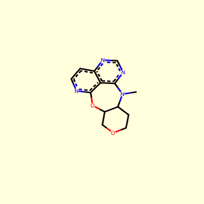 CN1c2ncnc3ccnc(c23)OC2COCCC21